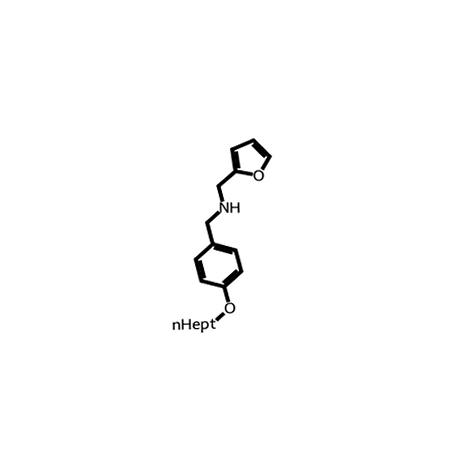 CCCCCCCOc1ccc(CNCc2ccco2)cc1